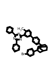 Cc1ccc(-c2ccc(C34CC5CC(CC(c6ccc(Br)cc6)(C5)C3)C4)cc2)cc1-c1nc(-c2ccccc2)nc(-c2ccccc2)n1